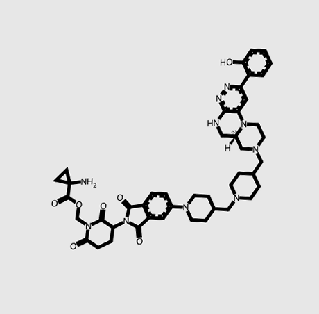 NC1(C(=O)OCN2C(=O)CCC(N3C(=O)c4ccc(N5CCC(CN6CCC(CN7CCN8c9cc(-c%10ccccc%10O)nnc9NC[C@H]8C7)CC6)CC5)cc4C3=O)C2=O)CC1